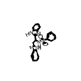 O=S(=O)(NC(Cc1nc2ccccc2[nH]1)c1nc2ccccc2[nH]1)c1ccccc1